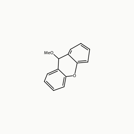 COC1c2ccccc2Oc2ccccc21